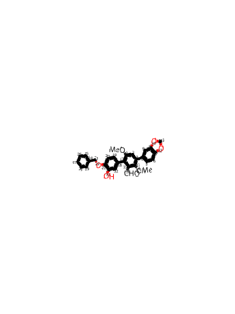 COc1cc(-c2ccc3c(c2)OCO3)c(OC)c(C=O)c1-c1ccc(OCc2ccccc2)c(O)c1